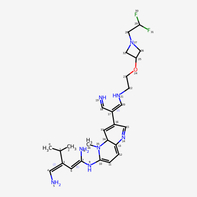 CC(C)C(=C/N)/C=C(\N)NC1=CC=C2N=CC(/C(C=N)=C/NCCOC3CN(CC(F)F)C3)=CC2N1C